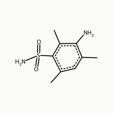 Cc1cc(C)c(S(N)(=O)=O)c(C)c1N